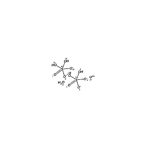 O.O=S([O-])([O-])(O)O.O=S([O-])([O-])(O)O.[U+4]